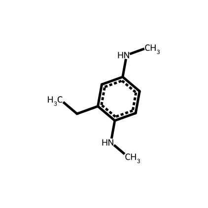 CCc1cc(NC)ccc1NC